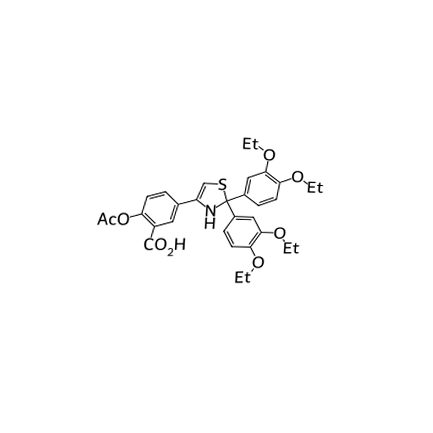 CCOc1ccc(C2(c3ccc(OCC)c(OCC)c3)NC(c3ccc(OC(C)=O)c(C(=O)O)c3)=CS2)cc1OCC